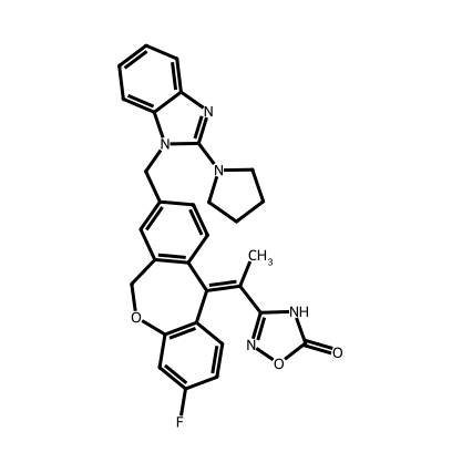 CC(=C1c2ccc(Cn3c(N4CCCC4)nc4ccccc43)cc2COc2cc(F)ccc21)c1noc(=O)[nH]1